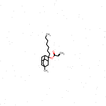 C=CC(=O)OC1(CCCCCCC)C2CC3CC1CC(C)(C3)C2